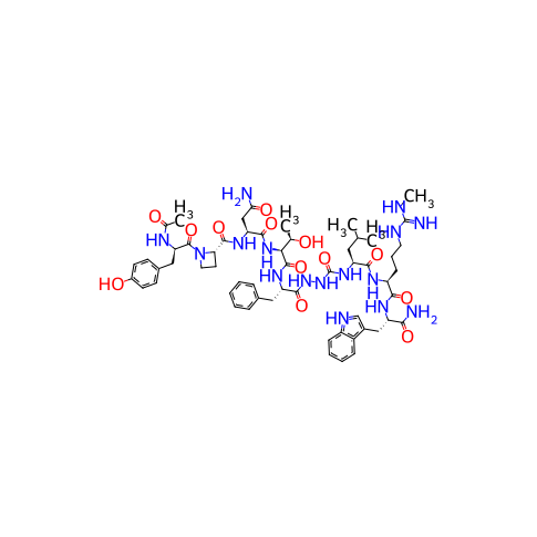 CNC(=N)NCCC[C@H](NC(=O)[C@H](CC(C)C)NC(=O)NNC(=O)[C@H](Cc1ccccc1)NC(=O)[C@@H](NC(=O)[C@H](CC(N)=O)NC(=O)[C@@H]1CCN1C(=O)[C@@H](Cc1ccc(O)cc1)NC(C)=O)[C@@H](C)O)C(=O)N[C@@H](Cc1c[nH]c2ccccc12)C(N)=O